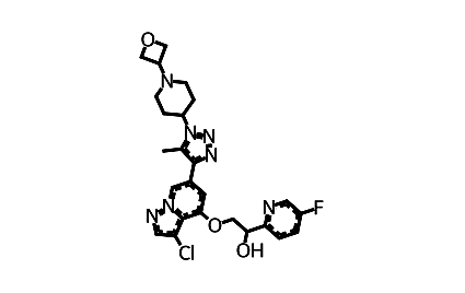 Cc1c(-c2cc(OCC(O)c3ccc(F)cn3)c3c(Cl)cnn3c2)nnn1C1CCN(C2COC2)CC1